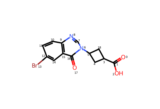 O=C(O)C1CC(n2cnc3ccc(Br)cc3c2=O)C1